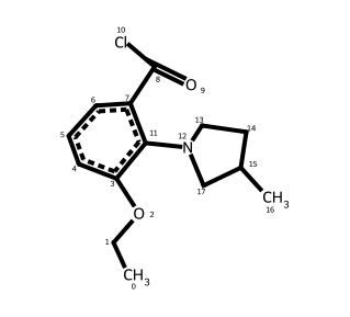 CCOc1cccc(C(=O)Cl)c1N1CCC(C)C1